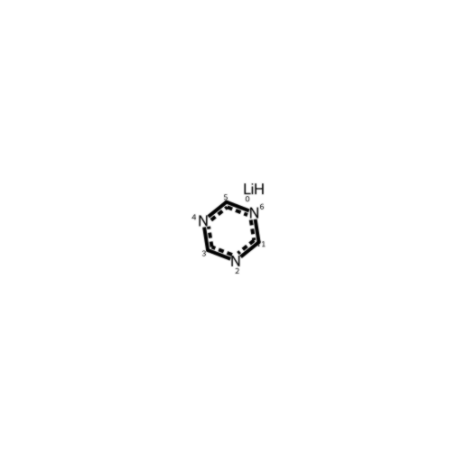 [LiH].[c]1ncncn1